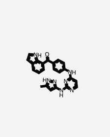 Cc1cc(Nc2nccc(Nc3ccc(C(=O)c4cccc5cc[nH]c45)cc3)n2)n[nH]1